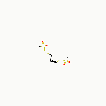 CS(=O)(=O)S/C=C\CSS(C)(=O)=O